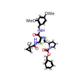 COc1ccc(CNC(=O)c2nc([C@H]3CCCN3C(=O)OCc3ccccc3)sc2NC(=O)C2(C(F)(F)F)CC2)c(OC)c1